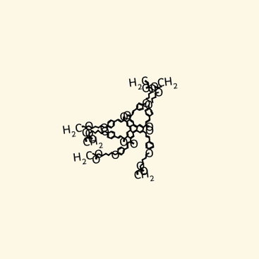 C=CC(=O)OCCCCOc1ccc(/C=C/C(=O)c2cc3c4cc(C(=O)/C=C/c5ccc(OCCCCOC(=O)C=C)cc5)c(C(=O)/C=C/c5ccc(OCCCCOC(=O)C=C)cc5)cc4c4cc(C(=O)/C=C/c5ccc(OCCCCOC(=O)C=C)cc5)c(C(=O)/C=C/c5ccc(OCCCCOC(=O)C=C)cc5)cc4c3cc2C(=O)/C=C/c2ccc(OCCCCOC(=O)C=C)cc2)cc1